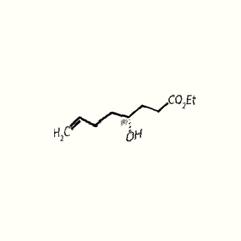 C=CCC[C@@H](O)CCC(=O)OCC